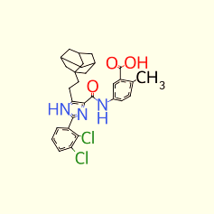 Cc1ccc(NC(=O)c2nc(-c3cccc(Cl)c3Cl)[nH]c2CCC23CC4CC(CC(C4)C2)C3)cc1C(=O)O